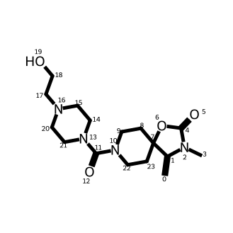 C=C1N(C)C(=O)OC12CCN(C(=O)N1CCN(CCO)CC1)CC2